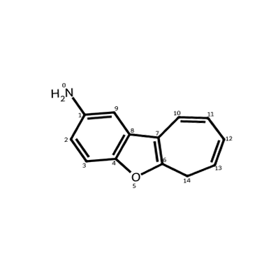 Nc1ccc2oc3c(c2c1)C=CC=CC3